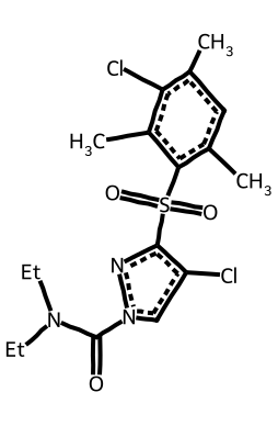 CCN(CC)C(=O)n1cc(Cl)c(S(=O)(=O)c2c(C)cc(C)c(Cl)c2C)n1